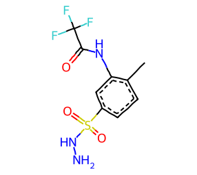 Cc1ccc(S(=O)(=O)NN)cc1NC(=O)C(F)(F)F